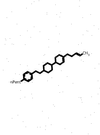 C/C=C/CCC1=CCC(C2CCC(CCc3ccc(CCCCC)cc3)CC2)CC1